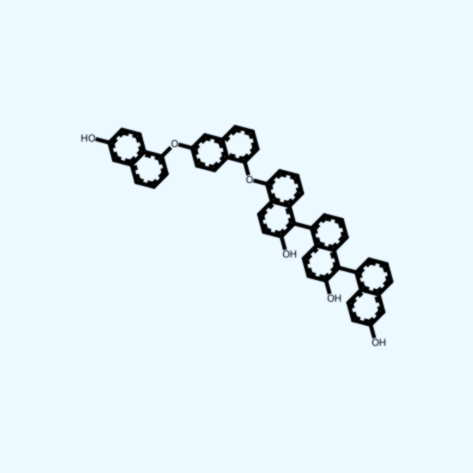 Oc1ccc2c(Oc3ccc4c(Oc5cccc6c(-c7cccc8c(-c9cccc%10cc(O)ccc9%10)c(O)ccc78)c(O)ccc56)cccc4c3)cccc2c1